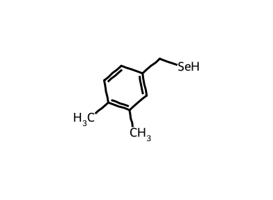 Cc1ccc(C[SeH])cc1C